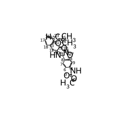 COC(=O)Nc1ccc2c(N[C@@H](Cc3ccccc3)C(=O)OC(C)(C)C)noc2c1